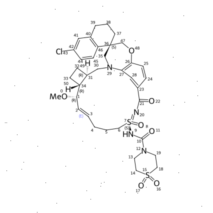 CO[C@H]1/C=C/CCC[S@](=O)(NC(=O)N2CCS(=O)(=O)CC2)=NC(=O)c2ccc3c(c2)N(C[C@@H]2CC[C@H]21)C[C@@]1(CCCc2cc(Cl)ccc21)CO3